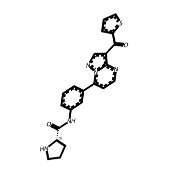 O=C(c1cccs1)c1cnn2c(-c3cccc(NC(=O)[C@@H]4CCCN4)c3)ccnc12